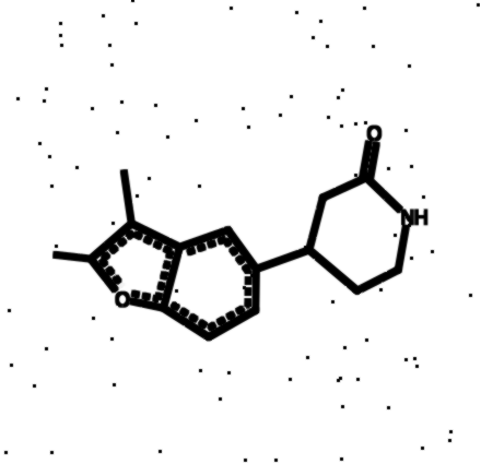 Cc1oc2ccc(C3CCNC(=O)C3)cc2c1C